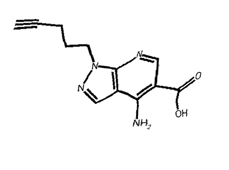 C#CCCCn1ncc2c(N)c(C(=O)O)cnc21